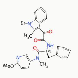 CCn1c(C)c(C(=O)C(=O)N[C@@H](Cc2ccccc2)C(=O)N(C)c2ccc(OC)nc2)c2ccccc21